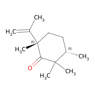 C=C(C)[C@]1(C)CC[C@H](C)C(C)(C)C1=O